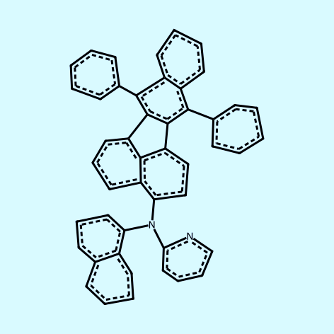 c1ccc(-c2c3c(c(-c4ccccc4)c4ccccc24)-c2ccc(N(c4ccccn4)c4cccc5ccccc45)c4cccc-3c24)cc1